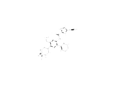 N#Cc1c[nH]c(C(=O)Nc2cc(CO)c(C3CNS(=O)(=O)NC3)cc2C2=CCCCC2)n1